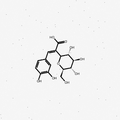 O=C(O)/C(=C/c1ccc(O)c(O)c1)C1O[C@H](CO)[C@@H](O)[C@H](O)[C@H]1O